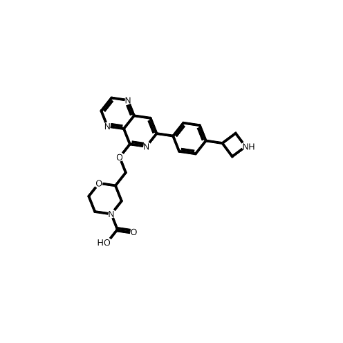 O=C(O)N1CCOC(COc2nc(-c3ccc(C4CNC4)cc3)cc3nccnc23)C1